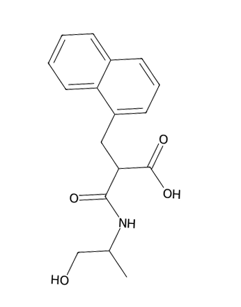 CC(CO)NC(=O)C(Cc1cccc2ccccc12)C(=O)O